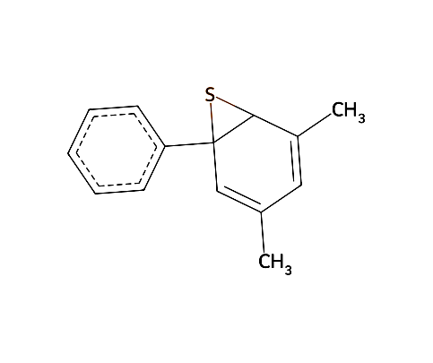 CC1=CC2(c3ccccc3)SC2C(C)=C1